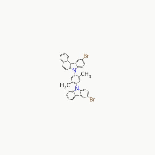 Cc1cc(-n2c3ccc(Br)cc3c3c4ccccc4ccc32)c(C)cc1-n1c2ccccc2c2cc(Br)ccc21